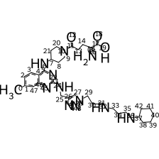 Cc1ccc2c(NC3CCN(C(=O)CC[C@H](N)C(=O)O)CC3)nc(NCc3cn(CCCNCCCNC4CCCCC4)nn3)nc2c1